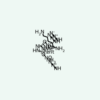 CCCCCNN.CNC.CNC.N.NCCCCCN.O=[NH+][O-].O=[NH+][O-].[N-]=[N+]=N.[N-]=[N+]=N.[N-]=[N+]=N